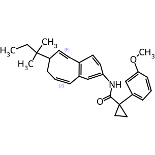 CCC(C)(C)C1/C=C/c2ccc(NC(=O)C3(c4cccc(OC)c4)CC3)cc2/C=C\C1